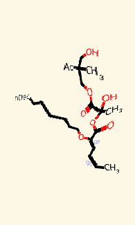 C/C=C\C=C(/OCCCCCCCCCCCCCCCC)C(=O)OC(C)(O)C(=O)OCC(C)(CO)C(C)=O